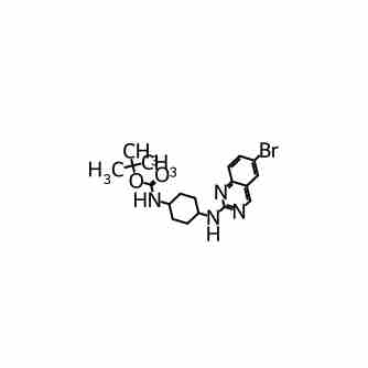 CC(C)(C)OC(=O)NC1CCC(Nc2ncc3cc(Br)ccc3n2)CC1